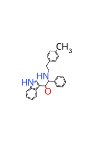 Cc1ccc(CCN[C@H](C(=O)c2c[nH]c3ccccc23)c2ccccc2)cc1